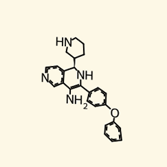 NC1=C(c2ccc(Oc3ccccc3)cc2)N[C@H](C2CCCNC2)c2ccncc21